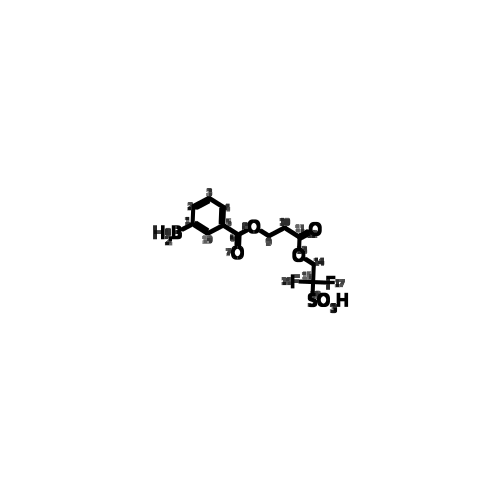 Bc1cccc(C(=O)OCCC(=O)OCC(F)(F)S(=O)(=O)O)c1